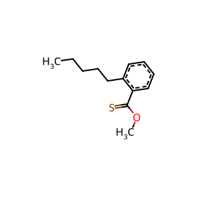 CCCCCc1ccccc1C(=S)OC